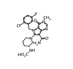 Cn1cnc2c(C(N)=O)c(N3CCC[C@@H](NC(=O)O)C3)n(Cc3cc(F)ccc3Cl)c2c1=O